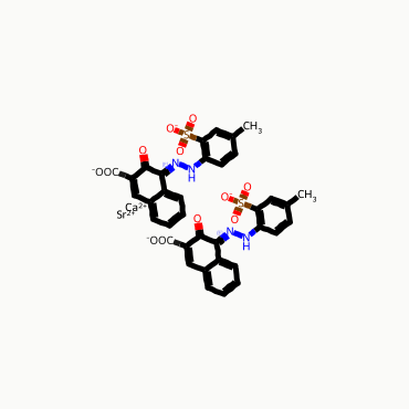 Cc1ccc(N/N=C2/C(=O)C(C(=O)[O-])=Cc3ccccc32)c(S(=O)(=O)[O-])c1.Cc1ccc(N/N=C2/C(=O)C(C(=O)[O-])=Cc3ccccc32)c(S(=O)(=O)[O-])c1.[Ca+2].[Sr+2]